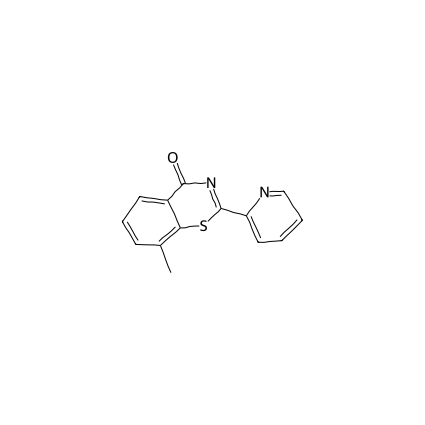 Cc1cccc2c(=O)nc(-c3ccccn3)sc12